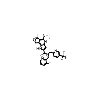 C[C@H]1OCc2c1c(N)nc1cc(C(=O)N(Cc3ccc(C(F)(F)F)cn3)Cc3ncccc3F)[nH]c21